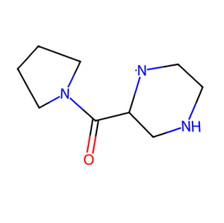 O=C(C1CNCC[N]1)N1CCCC1